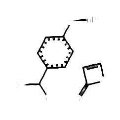 CCCOc1ccc(C(O)O)cc1.O=C1C=CO1